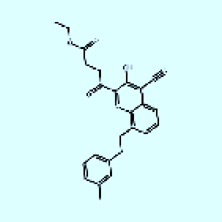 CCOC(=O)CCC(=O)c1nc2c(CCc3cccc(C)c3)cccc2c(C#N)c1O